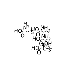 CC(C)CC(N)C(=O)O.CC(O)C(N)C(=O)O.CSCCC(N)C(=O)O.CSCCC(N)C(=O)O